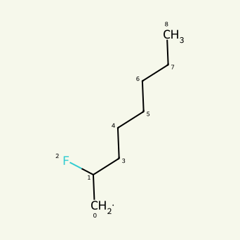 [CH2]C(F)CCCCCC